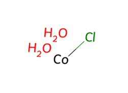 O.O.[Cl][Co]